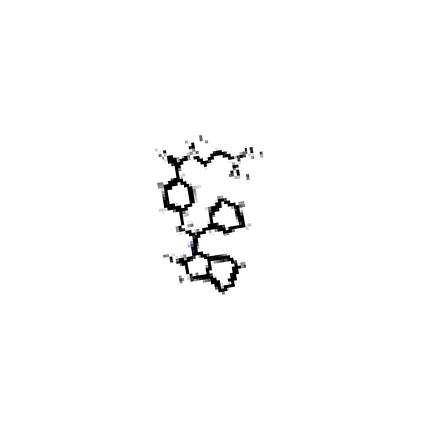 CN(C)CCN(C)C(=O)c1ccc(N/C(=C2\C(=O)Nc3ccccc32)c2ccccc2)cc1